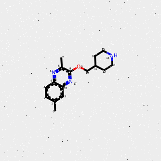 Cc1ccc2nc(C)c(OCC3CCNCC3)nc2c1